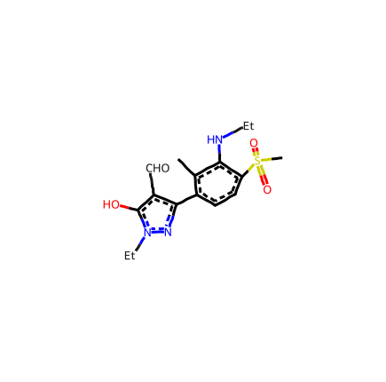 CCNc1c(S(C)(=O)=O)ccc(-c2nn(CC)c(O)c2C=O)c1C